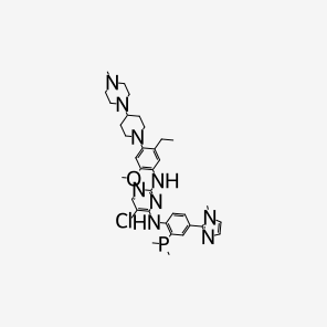 CCc1cc(Nc2ncc(Cl)c(Nc3ccc(-c4nccn4C)cc3P(C)C)n2)c(OC)cc1N1CCC(N2CCN(C)CC2)CC1